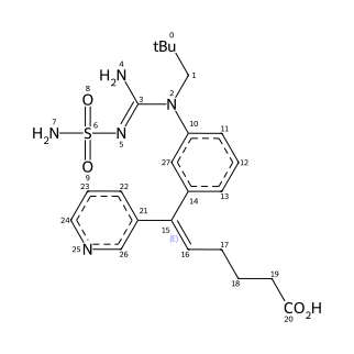 CC(C)(C)CN(C(N)=NS(N)(=O)=O)c1cccc(/C(=C\CCCC(=O)O)c2cccnc2)c1